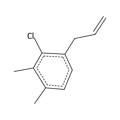 C=CCc1ccc(C)c(C)c1Cl